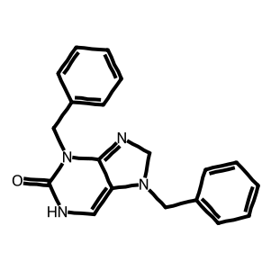 O=C1NC=C2C(=NCN2Cc2ccccc2)N1Cc1ccccc1